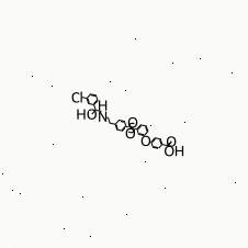 O=C(O)c1ccc(Oc2cccc(S(=O)(=O)c3ccc(CCNCC(O)c4cccc(Cl)c4)cc3)c2)cc1